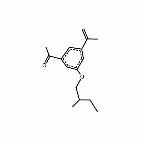 C=C(C)c1cc(OCC(C)CC)cc(C(C)=O)c1